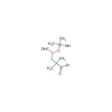 CCC(=O)C(C)(C)CC(C=O)O[Si](C)(C)C(C)(C)C